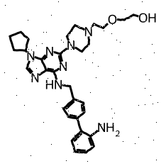 Nc1ccccc1-c1ccc(CNc2nc(N3CCN(CCOCCO)CC3)nc3c2ncn3C2CCCC2)cc1